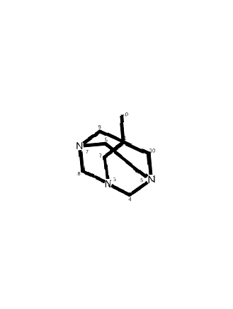 CC12CN3CN(CN(C3)C1)C2